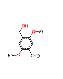 CCOc1cc(CO)c(OCC)cc1C=O